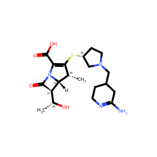 C[C@@H](O)[C@H]1C(=O)N2C(C(=O)O)=C(S[C@@H]3CCN(CC4CCN=C(N)C4)C3)[C@H](C)[C@H]12